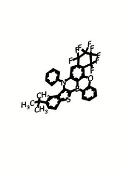 CC(C)(C)c1ccc2sc3c(c2c1)N(c1ccccc1)c1cc2c(c4c1B3c1ccccc1O4)C(F)(F)C(F)(F)C(F)(F)C2(F)F